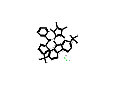 CC1=C(C)C(C)[C]([Zr+2](=[C](c2ccccc2)c2ccccc2)[CH]2c3cc(C(C)(C)C)ccc3-c3ccc(C(C)(C)C)cc32)=C1C.[Cl-].[Cl-]